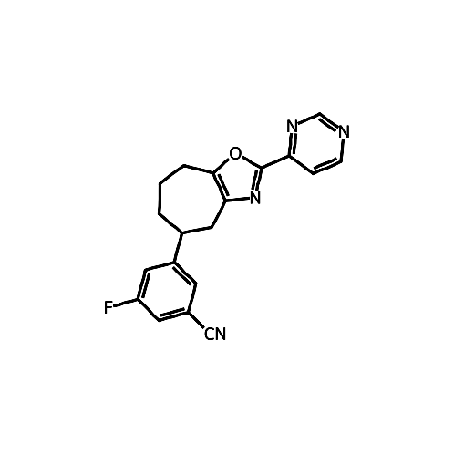 N#Cc1cc(F)cc(C2CCCc3oc(-c4ccncn4)nc3C2)c1